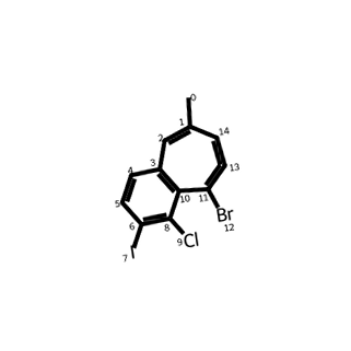 CC1=Cc2ccc(I)c(Cl)c2C(Br)=C=C1